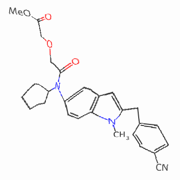 COC(=O)COCC(=O)N(c1ccc2c(c1)cc(Cc1ccc(C#N)cc1)n2C)C1CCCC1